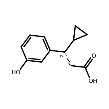 O=C(O)C[C@H](c1cccc(O)c1)C1CC1